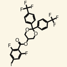 O=C(OC1COC(c2ccc(C(F)(F)F)cc2)(c2ccc(C(F)(F)F)cc2)OC1)c1c(F)cc(I)cc1F